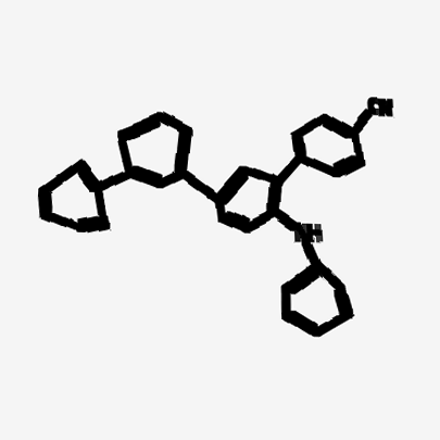 N#Cc1ccc(-c2cc(-c3cccc(-c4ccccc4)c3)ccc2Nc2ccccc2)cc1